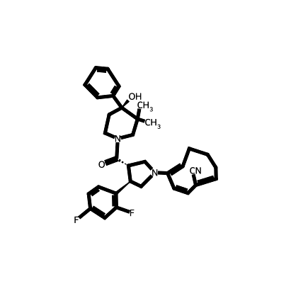 CC1(C)CN(C(=O)[C@@H]2CN(C3=C\CCC/C=C(C#N)/C=C\3)C[C@H]2c2ccc(F)cc2F)CC[C@]1(O)c1ccccc1